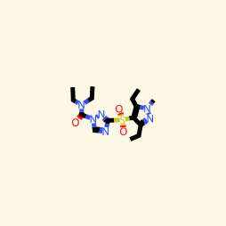 CCc1nn(C)c(CC)c1S(=O)(=O)c1ncn(C(=O)N(CC)CC)n1